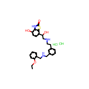 CCOc1ccccc1CNCc1cccc(CCNCC(O)c2ccc(O)c3[nH]c(=O)sc23)c1.Cl.Cl